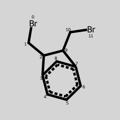 BrCC1c2cccc(c2)C1CBr